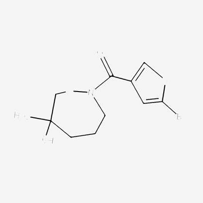 CC1(C)CCCN(C(=O)c2csc(Br)c2)CC1